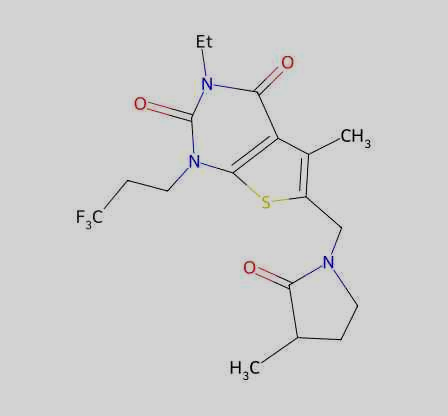 CCn1c(=O)c2c(C)c(CN3CCC(C)C3=O)sc2n(CCC(F)(F)F)c1=O